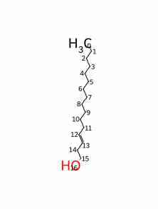 CCCCCCCCCCCCC=CCCO